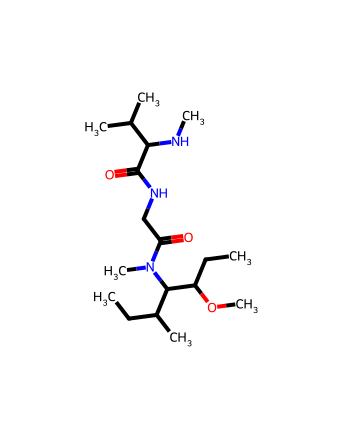 CCC(C)C(C(CC)OC)N(C)C(=O)CNC(=O)C(NC)C(C)C